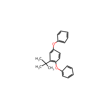 CC(C)(C)c1cc(Oc2ccccc2)ccc1Oc1ccccc1